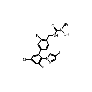 CC(C)N(O)C(=O)NCc1ccc(-c2cc(Cl)cc(F)c2-n2cc(F)cn2)cc1F